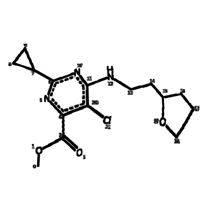 COC(=O)c1nc(C2CC2)nc(NCCC2CCCO2)c1Cl